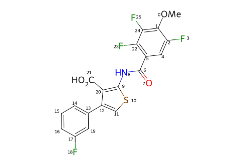 COc1c(F)cc(C(=O)Nc2scc(-c3cccc(F)c3)c2C(=O)O)c(F)c1F